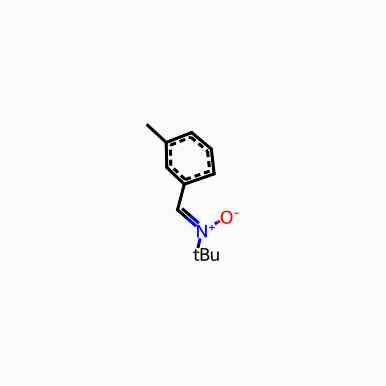 Cc1cccc(/C=[N+](\[O-])C(C)(C)C)c1